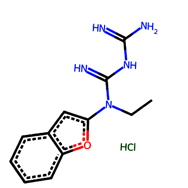 CCN(C(=N)NC(=N)N)c1cc2ccccc2o1.Cl